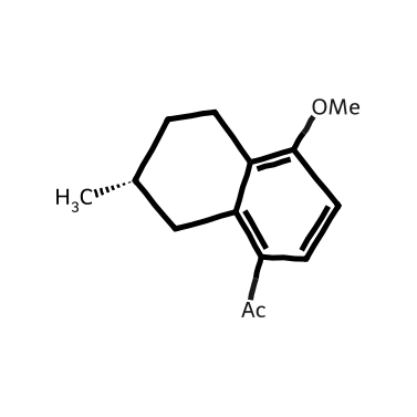 COc1ccc(C(C)=O)c2c1CC[C@@H](C)C2